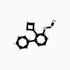 O=POc1cccc(-c2ccccc2)c1C1C=CC1